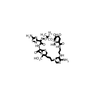 CC(C)(O/N=C(\C(=O)N[C@@H]1C(=O)N2C(C(=O)O)=C(/C=C/C[n+]3cnc(N)c(NCCNC(=O)c4cc(=O)c(O)cn4O)c3)CSC12)c1nsc(N)n1)C(=O)O